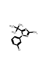 Cc1nc(C(C)(C)C)n(-c2cccc(Cl)c2)n1